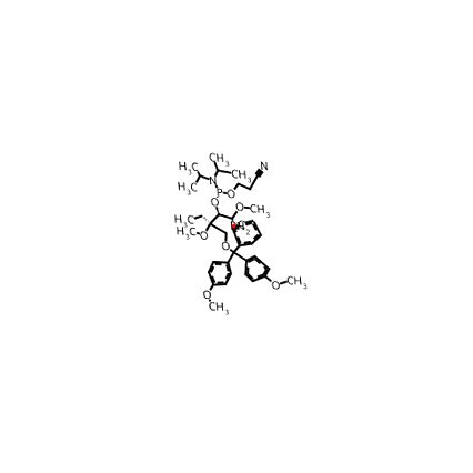 B[C@H](OC)[C@H](OP(OCCC#N)N(C(C)C)C(C)C)[C@@](CC)(COC(c1ccccc1)(c1ccc(OC)cc1)c1ccc(OC)cc1)OC